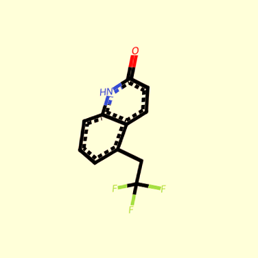 O=c1ccc2c(CC(F)(F)F)cccc2[nH]1